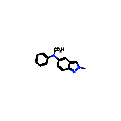 Cn1cc2cc(N(C(=O)O)c3ccccc3)ccc2n1